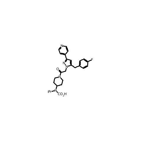 CC(C)N(C(=O)O)C1CCN(C(=O)Cn2nc(-c3ccncc3)cc2Cc2ccc(F)cc2)CC1